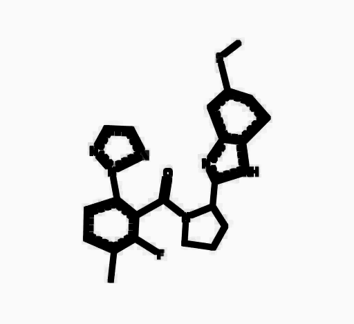 CSc1ccc2[nH]c(C3CCCN3C(=O)c3c(-n4nccn4)ccc(C)c3F)nc2c1